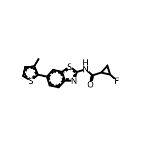 Cc1ccsc1-c1ccc2nc(NC(=O)C3CC3F)sc2c1